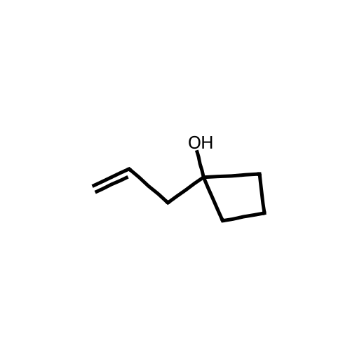 C=CCC1(O)CCC1